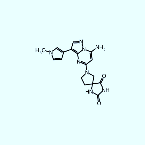 Cn1ccc(-c2cnn3c(N)cc(N4CCC5(C4)NC(=O)NC5=O)nc23)c1